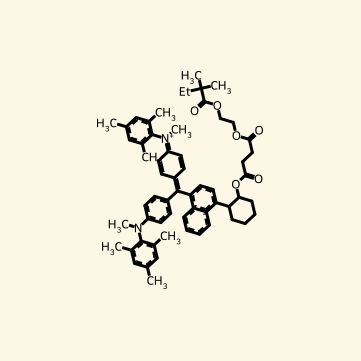 CCC(C)(C)C(=O)OCCOC(=O)CCC(=O)OC1CCCCC1c1ccc(C(=C2C=CC(=[N+](C)c3c(C)cc(C)cc3C)C=C2)c2ccc(N(C)c3c(C)cc(C)cc3C)cc2)c2ccccc12